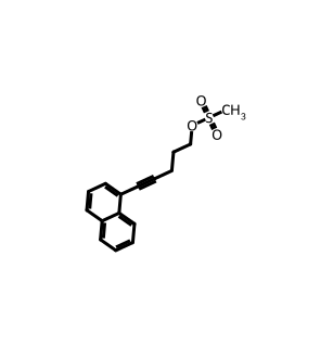 CS(=O)(=O)OCCCC#Cc1cccc2ccccc12